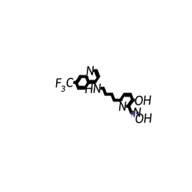 O/N=C/c1nc(CCCCNc2ccnc3cc(C(F)(F)F)ccc23)ccc1O